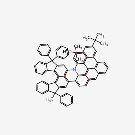 CC(C)(C)c1cc(-c2cccc3cccc(-c4ccccc4N(c4ccc5c(c4)C(c4ccccc4)(c4ccccc4)c4ccccc4-5)c4ccccc4-c4ccc5c(c4)C(C)(c4ccccc4)c4ccccc4-5)c23)cc(C(C)(C)C)c1